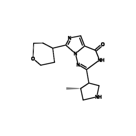 C[C@H]1CNCC1c1nn2c(C3CCOCC3)ncc2c(=O)[nH]1